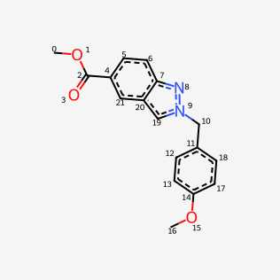 COC(=O)c1ccc2nn(Cc3ccc(OC)cc3)cc2c1